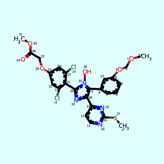 COCOc1cccc(-c2c(-c3ccnc(SC)n3)nc(-c3c(Cl)cc(OCC(=O)OC)cc3Cl)n2O)c1